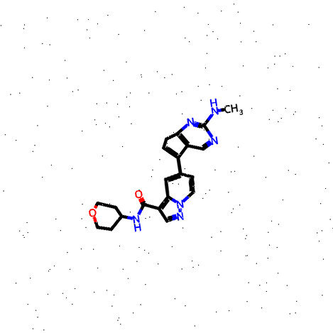 CNc1ncc2c(n1)CC=C2c1ccn2ncc(C(=O)NC3CCOCC3)c2c1